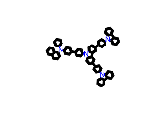 c1ccc(N(c2ccc(-c3ccc(-n4c5ccc(-c6ccc(-n7c8ccccc8c8ccccc87)cc6)cc5c5cc(-c6ccc(-n7c8ccccc8c8ccccc87)cc6)ccc54)cc3)cc2)c2cccc3ccccc23)cc1